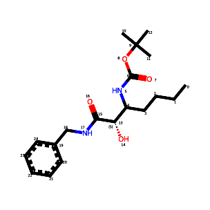 CCCCC(NC(=O)OC(C)(C)C)[C@H](O)C(=O)NCc1ccccc1